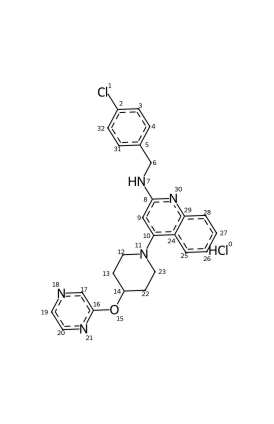 Cl.Clc1ccc(CNc2cc(N3CCC(Oc4cnccn4)CC3)c3ccccc3n2)cc1